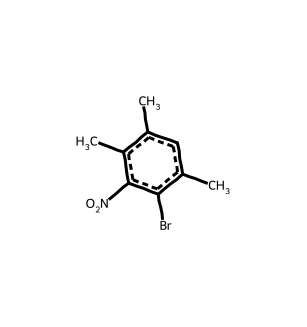 Cc1cc(C)c(Br)c([N+](=O)[O-])c1C